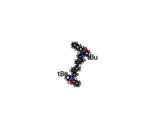 CC(C)(C)c1ccc2c(c1)N(c1ccc3c(c1)C(C)(C)c1cc(-c4ccc5c(c4)C(C)(C)c4cc(N6c7cc(C(C)(C)C)ccc7Oc7cc8cc9ccccc9cc8cc76)ccc4-5)ccc1-3)c1cc3ccccc3cc1O2